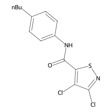 CCCCc1ccc(NC(=O)c2snc(Cl)c2Cl)cc1